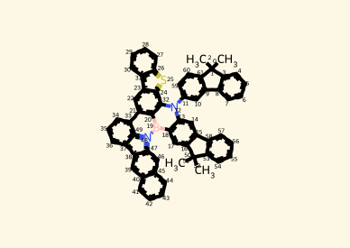 CC1(C)c2ccccc2-c2cc(N3c4cc5c(cc4B4c6c(cc7c(sc8ccccc87)c63)-c3cccc6c7cc8ccccc8cc7n4c36)C(C)(C)c3ccccc3-5)ccc21